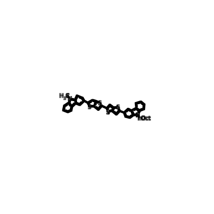 CCCCCCCCn1c2ccccc2c2cc(-c3cc4sc(-c5cc6sc(-c7ccc8c(c7)c7ccccc7n8C)cc6s5)cc4s3)ccc21